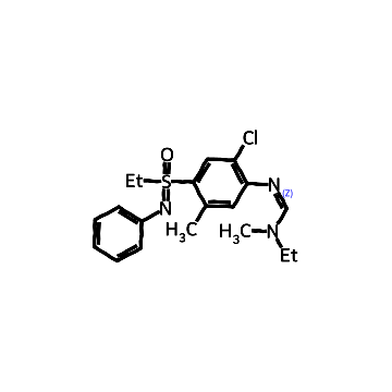 CCN(C)/C=N\c1cc(C)c(S(=O)(CC)=Nc2ccccc2)cc1Cl